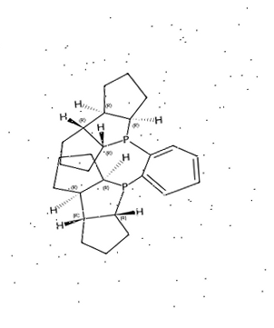 c1ccc(P2[C@@H]3CCC[C@@H]3[C@H]3CCC[C@H]32)c(P2[C@@H]3CCC[C@@H]3[C@H]3CCC[C@H]32)c1